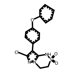 O=S1(=O)CCn2nc(Cl)c(-c3ccc(Oc4ccccc4)cc3)c2N1